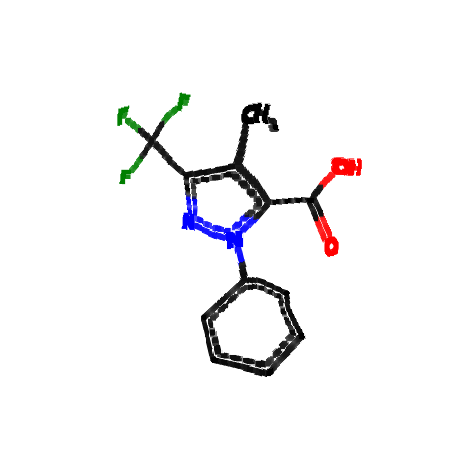 Cc1c(C(F)(F)F)nn(-c2ccccc2)c1C(=O)O